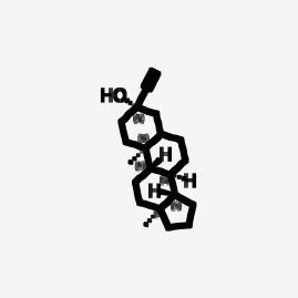 C#C[C@]1(O)CC[C@@]2(C)C(CC[C@H]3[C@@H]4CCC[C@@]4(C)CC[C@@H]32)C1